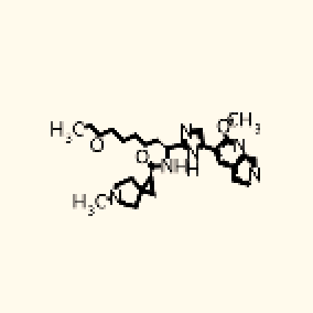 CCC(=O)CCCCC[C@H](NC(=O)[C@H]1CC12CCN(C)CC2)c1ncc(-c2cc3ccncc3nc2OC)[nH]1